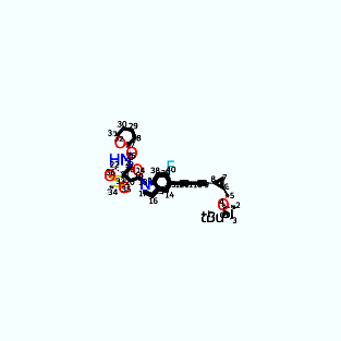 CC(C)(C)[Si](C)(C)OC[C@@H]1C[C@H]1C#CC#Cc1cc2ccn(CC[C@](C)(C(=O)NOC3CCCCO3)S(C)(=O)=O)c2cc1F